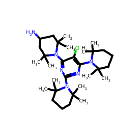 CC1(C)CCCC(C)(C)N1c1nc(N2C(C)(C)CCCC2(C)C)c(Cl)c(N2C(C)(C)CC(N)CC2(C)C)n1